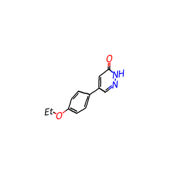 CCOc1ccc(-c2cn[nH]c(=O)c2)cc1